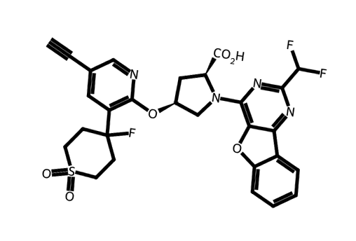 C#Cc1cnc(O[C@H]2C[C@@H](C(=O)O)N(c3nc(C(F)F)nc4c3oc3ccccc34)C2)c(C2(F)CCS(=O)(=O)CC2)c1